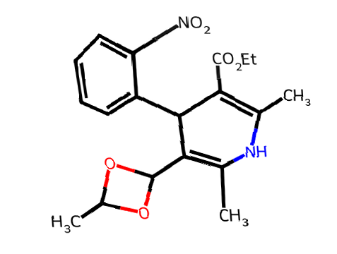 CCOC(=O)C1=C(C)NC(C)=C(C2OC(C)O2)C1c1ccccc1[N+](=O)[O-]